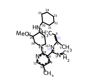 C=N/C(=N\C(C)=C/C)c1cc(C)cnc1N1CCC(NC2CCCCC2)C(OC)C1